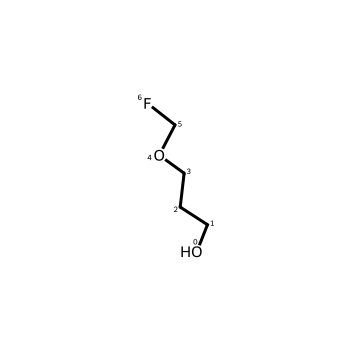 OCCCOCF